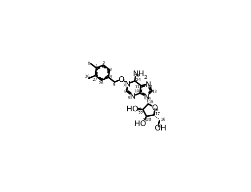 Cc1ccc(CON2C=Nc3c(ncn3[C@@H]3O[C@H](CO)C(O)C3O)C2N)cc1C